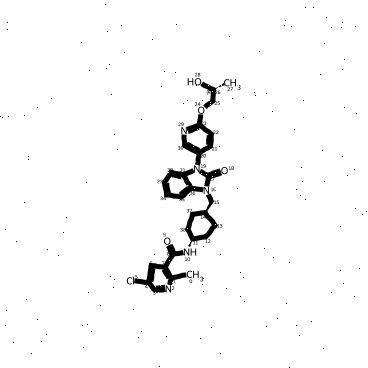 Cc1ncc(Cl)cc1C(=O)N[C@H]1CC[C@H](Cn2c(=O)n(-c3ccc(OC[C@@H](C)O)nc3)c3ccccc32)CC1